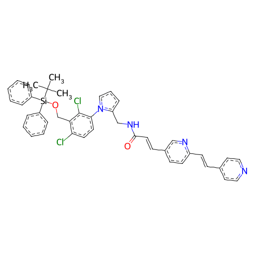 CC(C)(C)[Si](OCc1c(Cl)ccc(-n2cccc2CNC(=O)/C=C/c2ccc(/C=C/c3ccncc3)nc2)c1Cl)(c1ccccc1)c1ccccc1